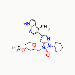 CO[C@H]1CCO[C@@H](Cn2c(=O)n(C3=CCCCC3)c3ncc(-c4cnc5[nH]ccc5c4C)cc32)C1